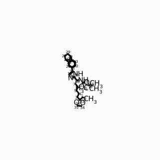 CCC1(CCCCC[C@H](NC(=O)OC(C)(C)C)c2ncc(-c3ccc4c(c3)C3CCC4C3)[nH]2)OCCO1